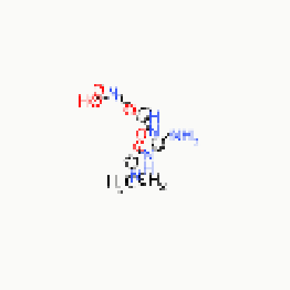 CN(C)c1cccc(C(=O)Nc2ccc(CN)c(NC(=O)c3cccc(OCCCN4CCOC(O)C4)c3)c2)c1